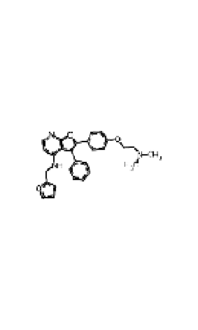 CN(C)CCOc1ccc(-c2oc3nccc(NCc4ccco4)c3c2-c2ccccc2)cc1